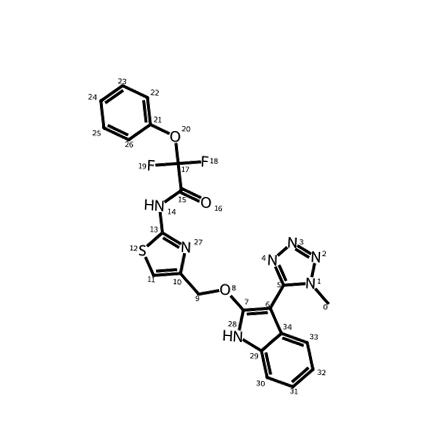 Cn1nnnc1-c1c(OCc2csc(NC(=O)C(F)(F)Oc3ccccc3)n2)[nH]c2ccccc12